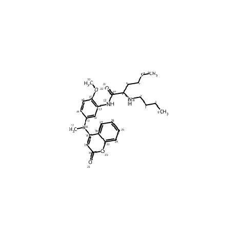 CCCCNC(CCSC)C(=O)Nc1cc(N(C)c2cc(=O)oc3ccccc23)ccc1OC